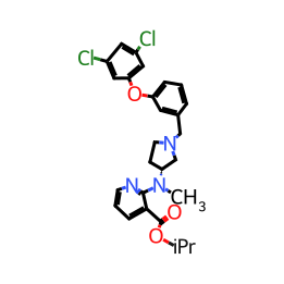 CC(C)OC(=O)c1cccnc1N(C)[C@@H]1CCN(Cc2cccc(Oc3cc(Cl)cc(Cl)c3)c2)C1